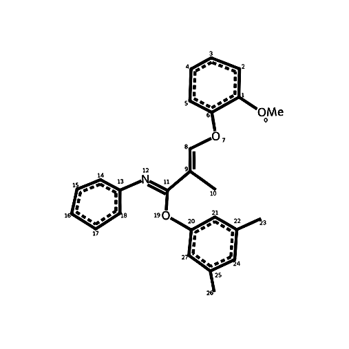 COc1ccccc1O/C=C(C)/C(=N/c1ccccc1)Oc1cc(C)cc(C)c1